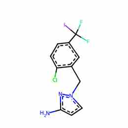 Nc1ccn(Cc2cc(C(F)(F)I)ccc2Cl)n1